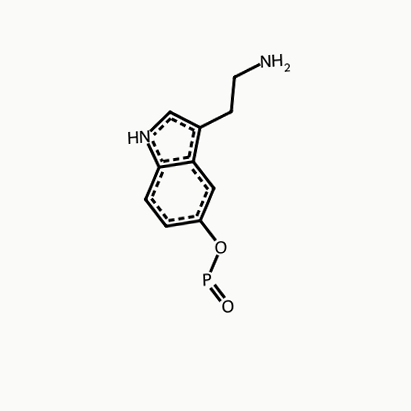 NCCc1c[nH]c2ccc(OP=O)cc12